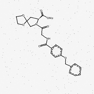 COC(=O)[C@@H]1CC2(CN1C(=O)CNC(=O)c1ccc(OCc3ccccc3)cc1)OCCO2